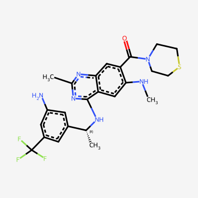 CNc1cc2c(N[C@H](C)c3cc(N)cc(C(F)(F)F)c3)nc(C)nc2cc1C(=O)N1CCSCC1